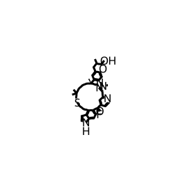 CC(Cc1cccc([C@@]2(C)CCCC(C)(C)CSCCc3c(c(F)cc4[nH]ccc34)C(=O)c3ccnc(c3)-c3nc2nn3C)c1)C(=O)O